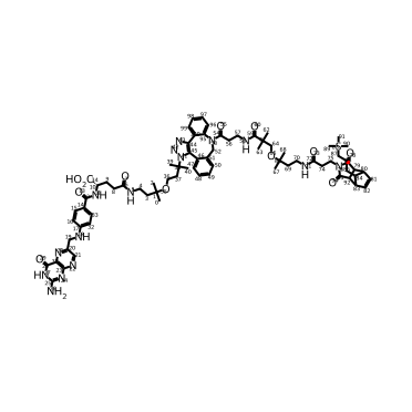 CC(C)(CCNC(=O)CC[C@H](NC(=O)c1ccc(NCc2cnc3nc(N)[nH]c(=O)c3n2)cc1)C(=O)O)OCCC(C)(C)n1nnc2c1-c1ccccc1CN(C(=O)CCNC(=O)C(C)(C)COC(C)(C)CCNC(=O)CCN1C(=O)C3C4C=CC(C4CCCS(C)(C)C)C3C1=O)c1ccccc1-2